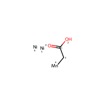 O=C(O)[CH2][Mn].[Ni].[Ni]